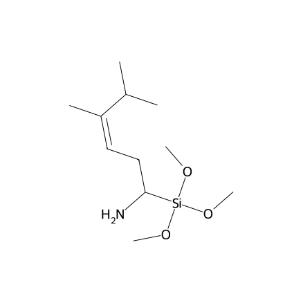 CO[Si](OC)(OC)C(N)CC=C(C)C(C)C